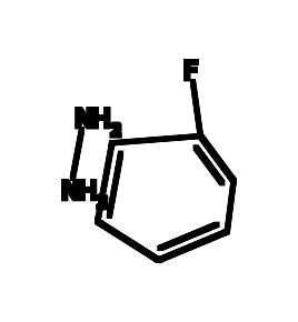 Fc1ccccc1.NN